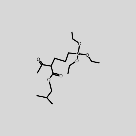 CCO[Si](CCCC(C(C)=O)C(=O)OCC(C)C)(OCC)OCC